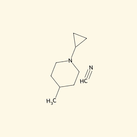 C#N.CC1CCN(C2CC2)CC1